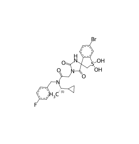 C[C@@H](C1CC1)N(Cc1ccc(F)cc1)C(=O)CN1C(=O)NC2(CS(O)(O)c3cc(Br)ccc32)C1=O